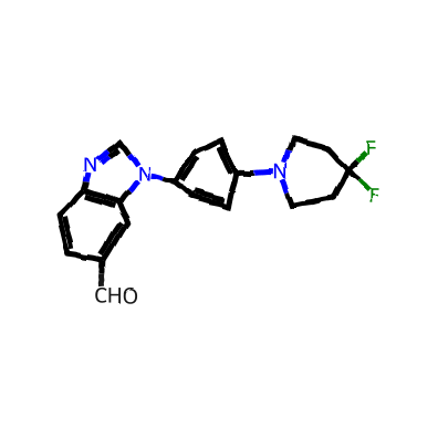 O=Cc1ccc2ncn(-c3ccc(N4CCC(F)(F)CC4)cc3)c2c1